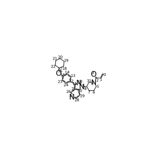 C=CC(=O)N1CCC[C@@H](n2nc(-c3ccc(OC4CCCCC4)cc3)c3cnccc32)C1